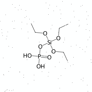 CCO[Si](OCC)(OCC)OP(=O)(O)O